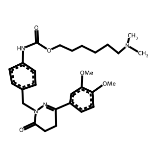 COc1ccc(C2=NN(Cc3ccc(NC(=O)OCCCCCCN(C)C)cc3)C(=O)CC2)cc1OC